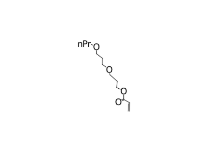 C=CC(=O)OCCCOCCCOCCC